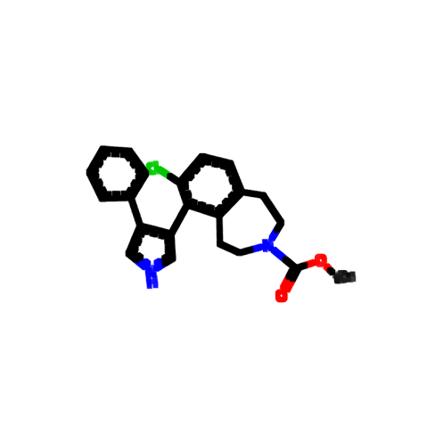 CC(C)(C)OC(=O)N1CCc2ccc(Cl)c(-c3c[nH]cc3-c3ccccc3)c2CC1